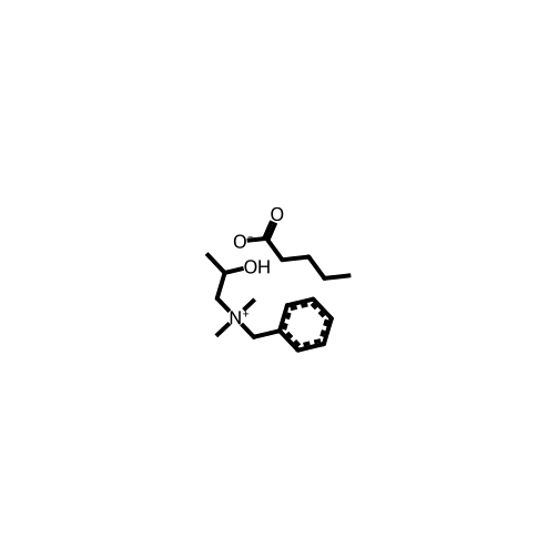 CC(O)C[N+](C)(C)Cc1ccccc1.CCCCC(=O)[O-]